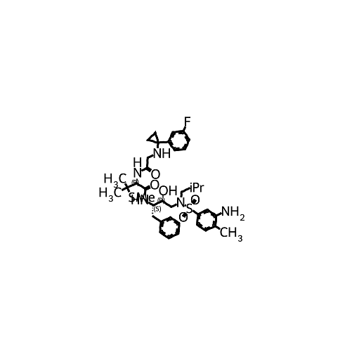 CSC(C)(C)[C@H](NC(=O)CNC1(c2cccc(F)c2)CC1)C(=O)N[C@@H](Cc1ccccc1)[C@H](O)CN(CC(C)C)S(=O)(=O)c1ccc(C)c(N)c1